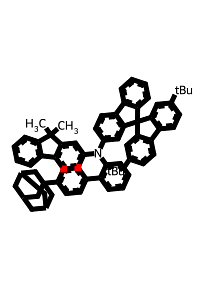 CC(C)(C)c1ccc2c(c1)C1(c3ccccc3-c3ccc(N(c4ccc5c(c4)C(C)(C)c4ccccc4-5)c4ccccc4-c4ccc(C56CC7CC(CC(C7)C5)C6)cc4)cc31)c1cc(C(C)(C)C)ccc1-2